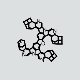 c1c2c3cc4c5c6c(ncc5n5c7cnc8c(c7c(c3oc2c2c3c7c(ncc3n3c9cnc%10c(c9c1c23)C1CC2CC(C1)C%10C2)C1CC2CC3CC7CC321)c45)C1CC2CC3CC8C23C1)C1CC2CC3CC6CC321